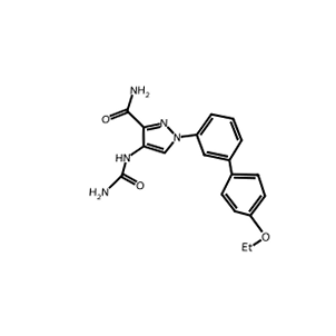 CCOc1ccc(-c2cccc(-n3cc(NC(N)=O)c(C(N)=O)n3)c2)cc1